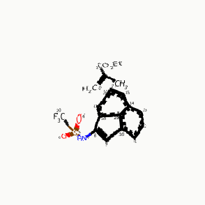 C=C(C)C(=O)OCC.O=S(=O)(NC1=Cc2cccc3cccc1c23)C(F)(F)F